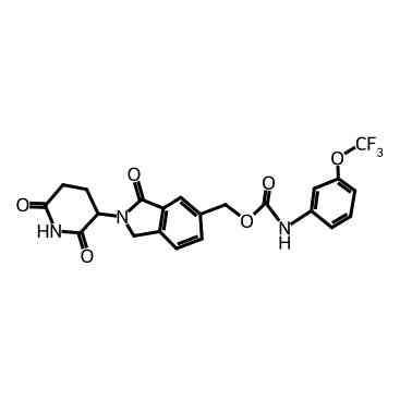 O=C1CCC(N2Cc3ccc(COC(=O)Nc4cccc(OC(F)(F)F)c4)cc3C2=O)C(=O)N1